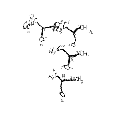 CC(C)[O-].CC(C)[O-].CC(C)[O-].CC(C)[O-].[Ge+4]